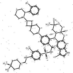 CC(C)c1ccccc1[C@@H]1COCCN1C1CC2(CCN(c3ccc(C(=O)NS(=O)(=O)c4ccc(NC[C@H]5CC[C@](C)(O)CC5)c([N+](=O)[O-])c4)c(N4c5cc6c(F)c[nH]c6nc5O[C@H]5COC(C)(C)C[C@@H]54)c3)CC2)C1